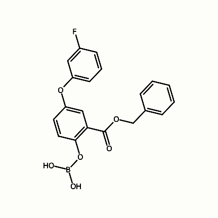 O=C(OCc1ccccc1)c1cc(Oc2cccc(F)c2)ccc1OB(O)O